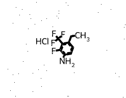 CCc1ccc(N)c(F)c1C(F)(F)F.Cl